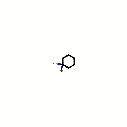 CC(C)(C)C1(N)CCCCC1